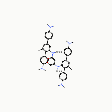 CCCCCCN(c1cccc(N(CCCCCC)c2cc(-c3ccc(N(C)C)cc3)cc(C)c2-c2ccc(N(C)C)cc2)c1)c1cc(-c2ccc(N(C)C)cc2)cc(C)c1-c1ccc(N(C)C)cc1